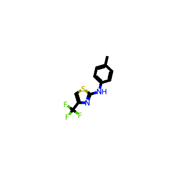 Cc1ccc(Nc2nc(C(F)(F)F)cs2)cc1